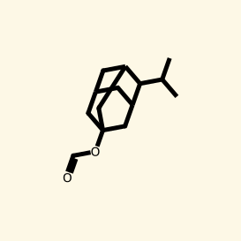 CC(C)C1C2CC3CC1CC(OC=O)(C3)C2